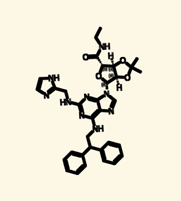 CCNC(=O)[C@H]1O[C@@H](n2cnc3c(NCC(c4ccccc4)c4ccccc4)nc(NCc4ncc[nH]4)nc32)[C@@H]2OC(C)(C)O[C@@H]21